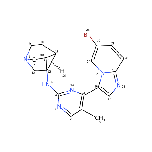 Cc1cnc(N[C@H]2CN3CCC2CC3)nc1-c1cnc2ccc(Br)cn12